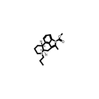 CCCN1CCC[C@@H]2c3cccc4c3c(c(C)n4C(=O)OC)C[C@H]21